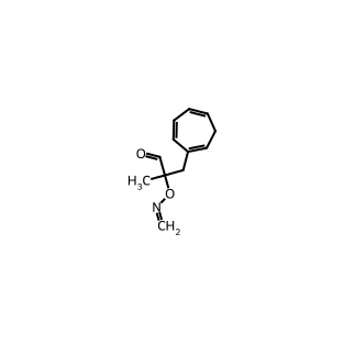 C=NOC(C)(C=O)CC1=CCC=CC=C1